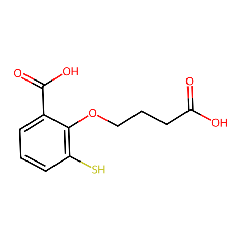 O=C(O)CCCOc1c(S)cccc1C(=O)O